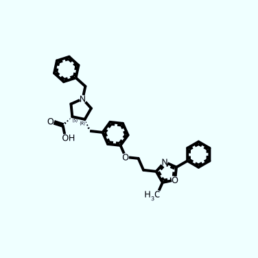 Cc1oc(-c2ccccc2)nc1CCOc1cccc(C[C@H]2CN(Cc3ccccc3)C[C@H]2C(=O)O)c1